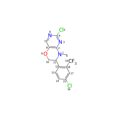 CN1c2nc(Cl)ncc2OCC1c1ccc(Cl)cc1C(F)(F)F